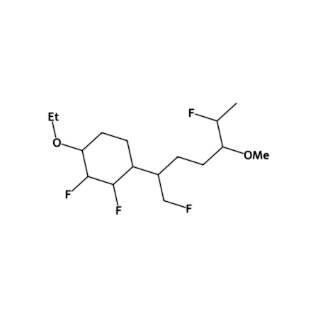 CCOC1CCC(C(CF)CCC(OC)C(C)F)C(F)C1F